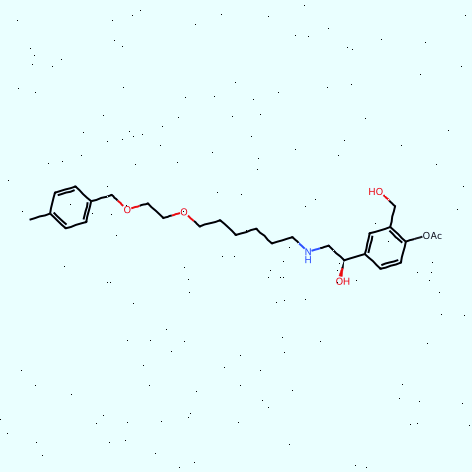 CC(=O)Oc1ccc([C@@H](O)CNCCCCCCOCCOCc2ccc(C)cc2)cc1CO